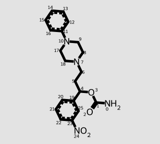 NC(=O)OC(CCN1CCN(c2ccccc2)CC1)c1cccc([N+](=O)[O-])c1